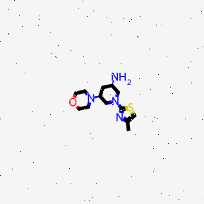 Cc1csc(N2C[C@@H](N)C[C@H](N3CCOCC3)C2)n1